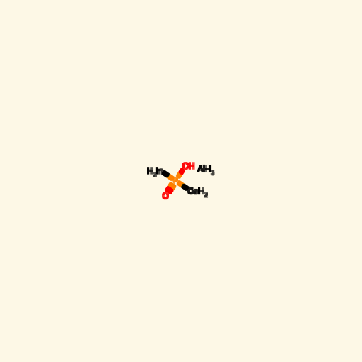 O=[P](O)([GaH2])[InH2].[AlH3]